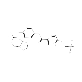 NC1N[C@@]2(c3cc(NC(=O)c4cnc(OCC(F)(F)F)cn4)ccc3F)CCC[C@H]2CS1